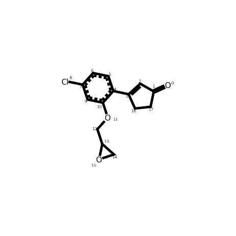 O=C1C=C(c2ccc(Cl)cc2OCC2CO2)CC1